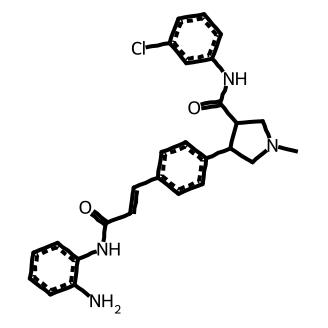 CN1CC(C(=O)Nc2cccc(Cl)c2)C(c2ccc(/C=C/C(=O)Nc3ccccc3N)cc2)C1